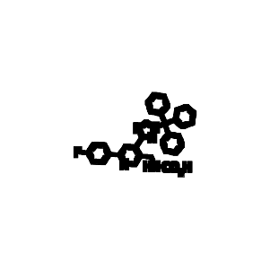 O=C(O)NCc1cnc(-c2ccc(F)cc2)cc1-c1ncn(C(c2ccccc2)(c2ccccc2)c2ccccc2)n1